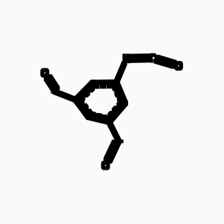 O=[C]c1cc([C]=O)cc(N=C=O)c1